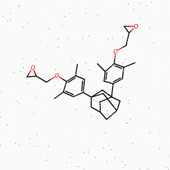 Cc1cc(C23CC4CC(C2)CC(c2cc(C)c(OCC5CO5)c(C)c2)(C4)C3)cc(C)c1OCC1CO1